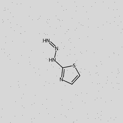 N=NNc1nccs1